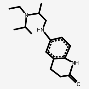 CCN(C(C)C)C(C)CNc1ccc2c(c1)CCC(=O)N2